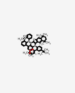 CC(C)(C)c1ccc(N2c3cc(C(C)(C)C)cc4c3B(c3oc5cc6c(cc5c32)C(C)(C)CCC6(C)C)N2c3ccccc3[Si](C)(C)c3cccc-4c32)c(-c2ccccc2)c1